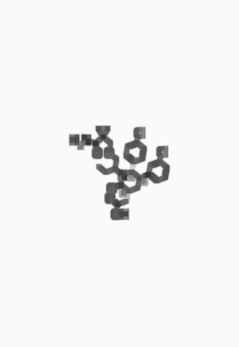 CCC(COCC1(C(N)=O)CC1)N1C(=O)[C@@H](CC(=O)O)C[C@H](c2cccc(Cl)c2)[C@H]1c1ccc(Cl)cc1